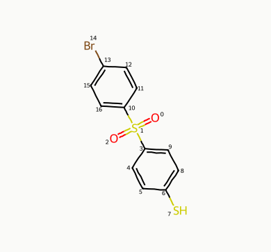 O=S(=O)(c1ccc(S)cc1)c1ccc(Br)cc1